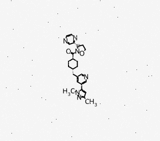 Cc1cc(-c2cncc(C[C@H]3CC[C@H](C(=O)N4OCC[C@H]4c4cnccn4)CC3)c2)n(C)n1